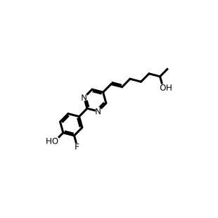 CC(O)CCCC=Cc1cnc(-c2ccc(O)c(F)c2)nc1